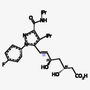 CC(C)NC(=O)c1nn(-c2ccc(F)cc2)c(/C=C/[C@H](O)C[C@@H](O)CC(=O)O)c1C(C)C